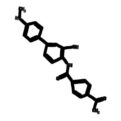 CNc1ccc(-c2ccc(NC(=O)c3ccc(C(C)=O)cc3)c(O)c2)cc1